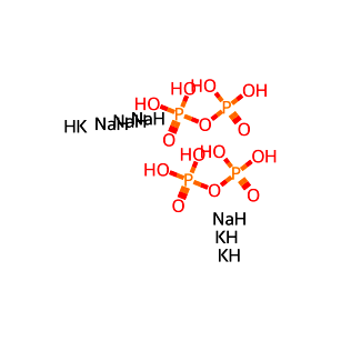 O=P(O)(O)OP(=O)(O)O.O=P(O)(O)OP(=O)(O)O.[KH].[KH].[KH].[NaH].[NaH].[NaH].[NaH]